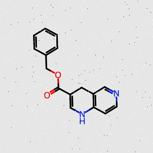 O=C(OCc1ccccc1)C1=CNc2ccncc2C1